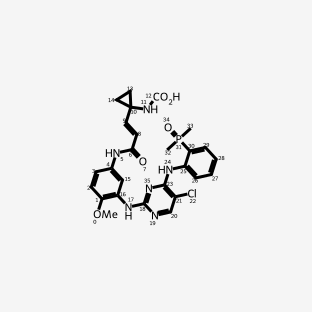 COc1ccc(NC(=O)/C=C/C2(NC(=O)O)CC2)cc1Nc1ncc(Cl)c(Nc2ccccc2P(C)(C)=O)n1